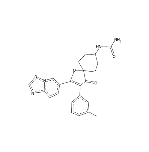 Cc1cccc(C2=C(c3ccc4ncnn4c3)OC3(CCC(NC(N)=O)CC3)C2=O)c1